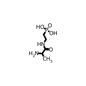 CC(N)C(=O)NCCP(=O)(O)O